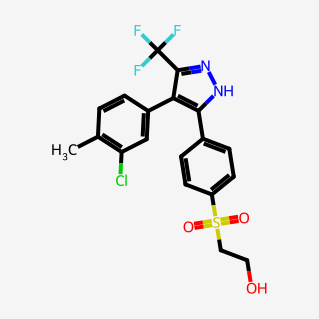 Cc1ccc(-c2c(C(F)(F)F)n[nH]c2-c2ccc(S(=O)(=O)CCO)cc2)cc1Cl